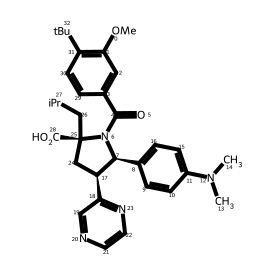 COc1cc(C(=O)N2[C@@H](c3ccc(N(C)C)cc3)[C@@H](c3cnccn3)C[C@@]2(CC(C)C)C(=O)O)ccc1C(C)(C)C